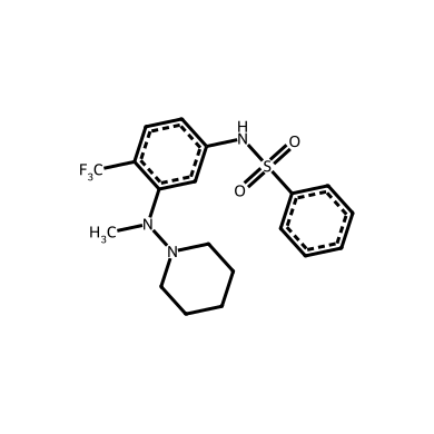 CN(c1cc(NS(=O)(=O)c2ccccc2)ccc1C(F)(F)F)N1CCCCC1